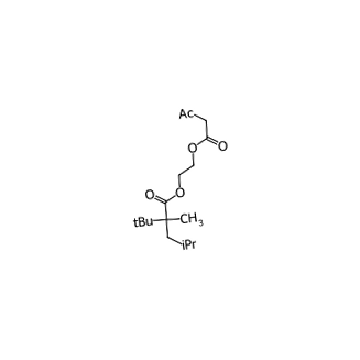 CC(=O)CC(=O)OCCOC(=O)C(C)(CC(C)C)C(C)(C)C